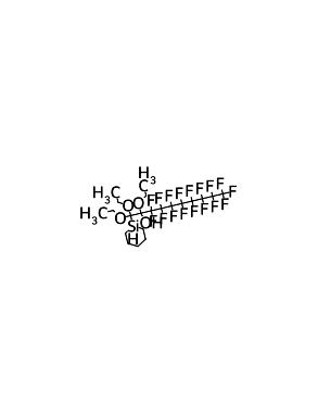 CCOC(OCC)([SiH]1CCCCC1)C(O)(OCC)C(F)(F)C(F)(F)C(F)(F)C(F)(F)C(F)(F)C(F)(F)C(F)(F)C(F)(F)F